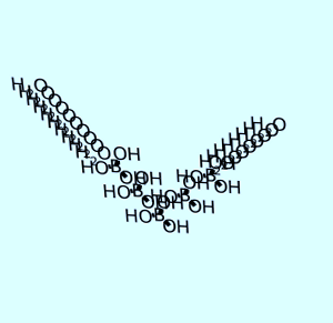 O.O.O.O.O.O.O.O.O.O.O.O.O.O.O.O.O.O.OB(O)O.OB(O)O.OB(O)O.OB(O)O.OB(O)O